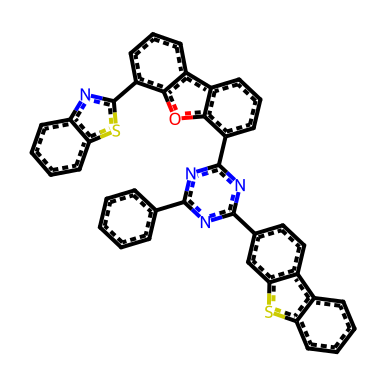 c1ccc(-c2nc(-c3ccc4c(c3)sc3ccccc34)nc(-c3cccc4c3oc3c(-c5nc6ccccc6s5)cccc34)n2)cc1